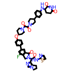 O=C1CCC(Nc2ccc(C3CCN(C(=O)C(=O)N4CCC(Oc5ccc(-c6cc(F)c7c(c6)C(=O)N(C(C(=O)Nc6nccs6)c6ncn8c6CCC8)C7)cc5)CC4)CC3)cc2)C(=O)N1